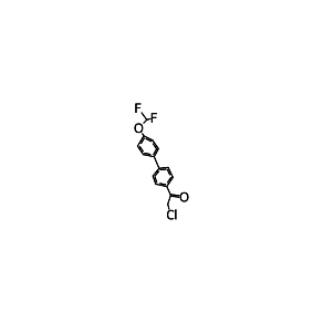 O=C(CCl)c1ccc(-c2ccc(OC(F)F)cc2)cc1